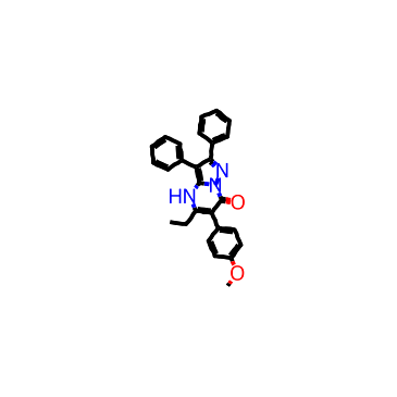 CCc1[nH]c2c(-c3ccccc3)c(-c3ccccc3)nn2c(=O)c1-c1ccc(OC)cc1